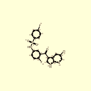 O=C(c1cc(NS(=O)(=O)c2ccc(F)cc2)ccc1F)c1c[nH]c2ncc(Cl)cc12